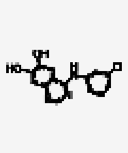 Oc1cc2ncnc(Nc3cccc(Cl)c3)c2cc1O